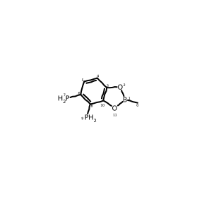 CB1Oc2ccc(P)c(P)c2O1